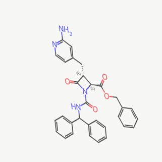 Nc1cc(C[C@H]2C(=O)N(C(=O)NC(c3ccccc3)c3ccccc3)[C@@H]2C(=O)OCc2ccccc2)ccn1